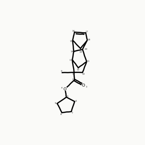 CC1(C(=O)OC2CCCC2)CC2CC1C1C3C=CC(C3)C21